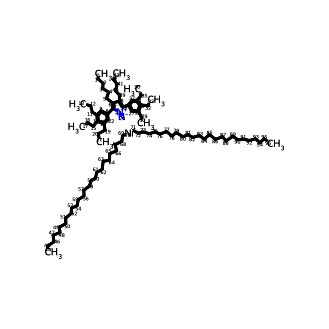 CCCCCCC1=C(c2cc(CCC)c(CCC)c(CCC)c2)[N+](=[N-])C(c2cc(CC)c(CC)c(CC)c2)=C1CCCCC.CCCCCCCCCCCCCCCCCCCCCCCCC[CH2][Ni][CH2]CCCCCCCCCCCCCCCCCCCCCCCCC